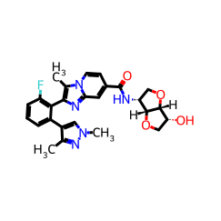 Cc1nn(C)cc1-c1cccc(F)c1-c1nc2cc(C(=O)N[C@@H]3CO[C@H]4[C@@H]3OC[C@H]4O)ccn2c1C